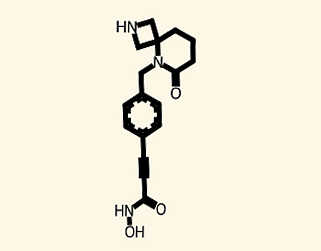 O=C(C#Cc1ccc(CN2C(=O)CCCC23CNC3)cc1)NO